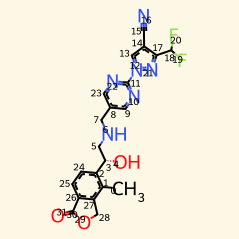 Cc1c([C@@H](O)CNCc2cnc(-n3cc(C#N)c(C(F)F)n3)nc2)ccc2c1COC2=O